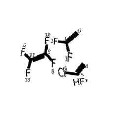 C=C(F)F.C=CCl.F.FC(F)=C(F)F